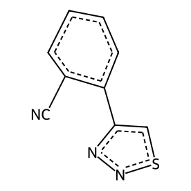 N#Cc1ccccc1-c1csnn1